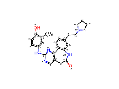 COc1cc(Nc2ncc3c(n2)-c2ccc(CCN4CCCC4)cc2NC(=O)C3)ccc1O